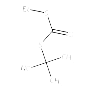 CCSC(=O)SC(C)(C)C#N